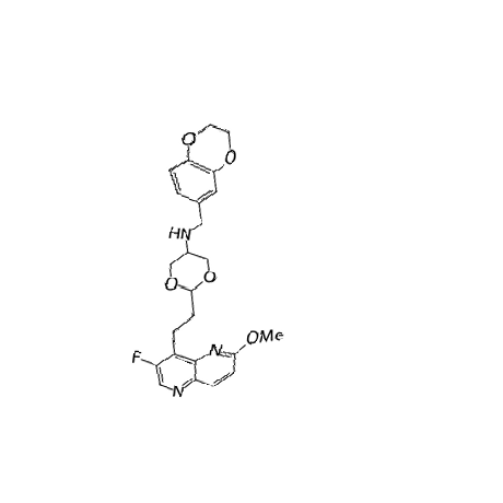 COc1ccc2ncc(F)c(CCC3OCC(NCc4ccc5c(c4)OCCO5)CO3)c2n1